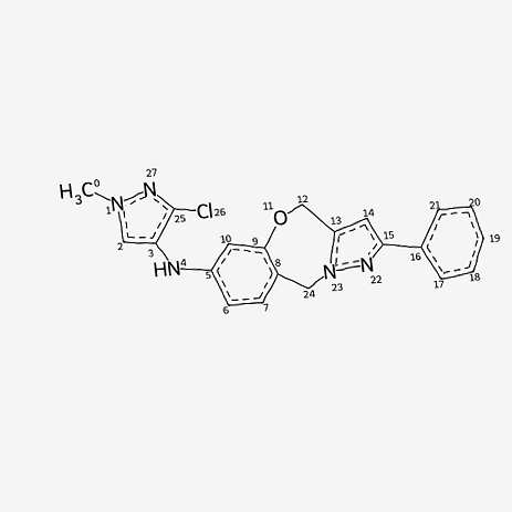 Cn1cc(Nc2ccc3c(c2)OCc2cc(-c4ccccc4)nn2C3)c(Cl)n1